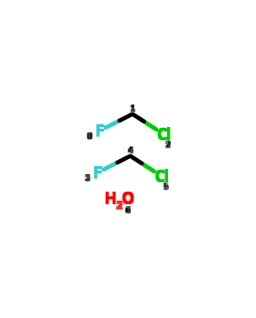 FCCl.FCCl.O